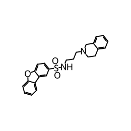 O=S(=O)(NCCCN1CCc2ccccc2C1)c1ccc2oc3ccccc3c2c1